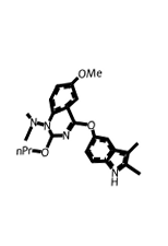 CCCOC1N=C(Oc2ccc3[nH]c(C)c(C)c3c2)c2cc(OC)ccc2N1N(C)C